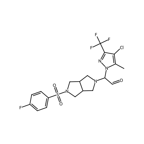 Cc1c(Cl)c(C(F)(F)F)nn1C(C=O)N1CC2CN(S(=O)(=O)c3ccc(F)cc3)CC2C1